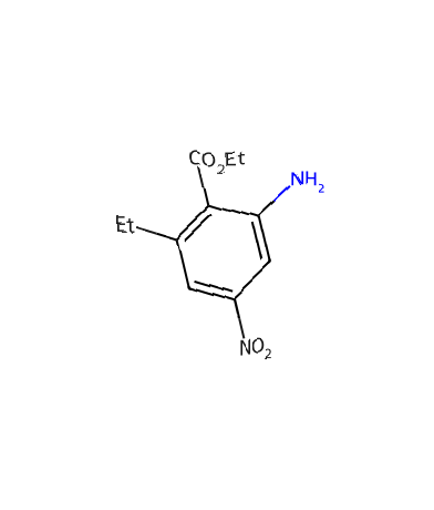 CCOC(=O)c1c(N)cc([N+](=O)[O-])cc1CC